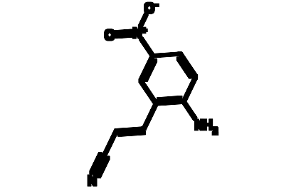 N#C/C=C/c1cc([N+](=O)[O-])ccc1N